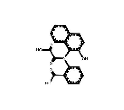 O=C(O)C(=O)N(c1ccccc1C(=O)O)c1c(O)ccc2ccccc12